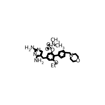 CCOc1cc(Cc2cnc(N)nc2N)cc(OS(=O)(=O)N(C)C)c1-c1ccc(CN2CCOCC2)cc1